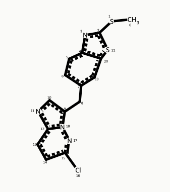 CSc1nc2ccc(Cc3cnc4ccc(Cl)nn34)cc2s1